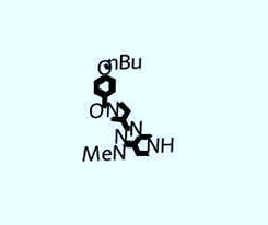 CCCCOc1ccc(C(=O)N2CCC(c3nc4c(c(NC)n3)CCNC4)C2)cc1